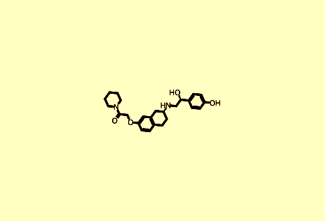 O=C(COc1ccc2c(c1)C[C@@H](NC[C@@H](O)c1ccc(O)cc1)CC2)N1CCCCC1